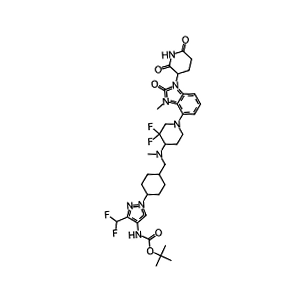 CN(CC1CCC(n2cc(NC(=O)OC(C)(C)C)c(C(F)F)n2)CC1)C1CCN(c2cccc3c2n(C)c(=O)n3C2CCC(=O)NC2=O)CC1(F)F